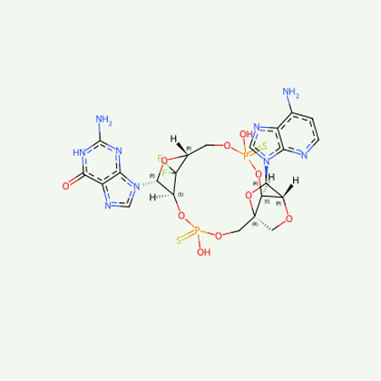 Nc1nc2c(ncn2[C@@H]2O[C@@H]3COP(O)(=S)O[C@H]4[C@H]5OC[C@]4(COP(O)(=S)O[C@@H]2C3(F)F)O[C@H]5n2cnc3c(N)ccnc32)c(=O)[nH]1